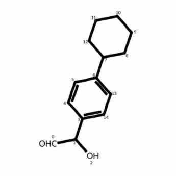 O=CC(O)c1ccc(C2CCCCC2)cc1